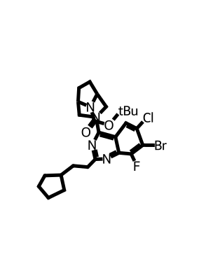 CC(C)(C)OC(=O)N1C2CCC1CN(c1nc(CCC3CCCC3)nc3c(F)c(Br)c(Cl)cc13)C2